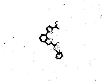 CC(=O)c1ccc(-c2cccc3c2OC(C(=O)N[C@H]2CN4CCC2CC4)C3)s1